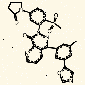 Cc1cc(-c2cnco2)cc(-c2nn(-c3cc(N4CCCC4=O)ccc3S(C)(=O)=O)c(=O)c3ncccc23)c1